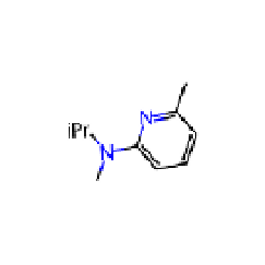 Cc1cccc(N(C)C(C)C)n1